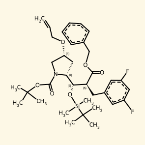 C=CCO[C@@H]1C[C@H]([C@@H](O[Si](C)(C)C(C)(C)C)[C@H](Cc2cc(F)cc(F)c2)C(=O)OCc2ccccc2)N(C(=O)OC(C)(C)C)C1